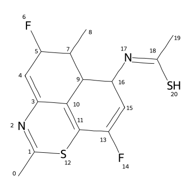 CC1=NC2=CC(F)C(C)C3C2=C(S1)C(F)=CC3/N=C(/C)S